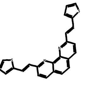 C(=C\c1cccs1)/c1ccc2ccc3ccc(/C=C/c4cccs4)nc3c2n1